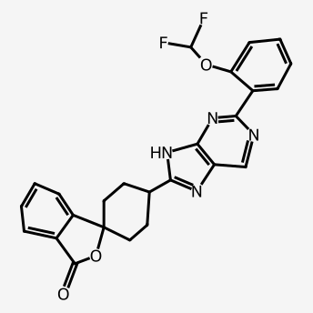 O=C1OC2(CCC(c3nc4cnc(-c5ccccc5OC(F)F)nc4[nH]3)CC2)c2ccccc21